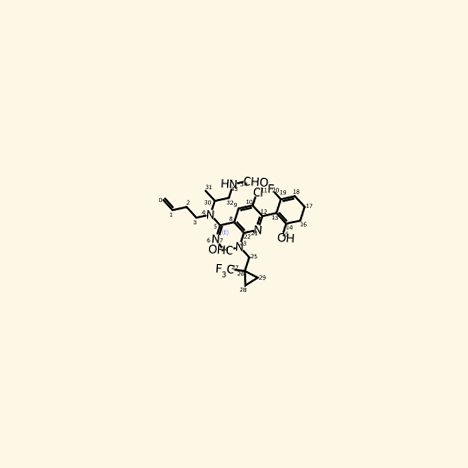 C=CCCN(/C(=N/C)c1cc(Cl)c(C2=C(O)CCC=C2F)nc1N(C=O)CC1(C(F)(F)F)CC1)C(C)CNC=O